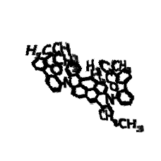 C=c1/c(=C\C=C/C)n(-c2cccc3c2oc2c(C(C)(C)C)cccc23)c2ccc3cc4c5ccccc5n(-c5cccc6c5oc5c(C(C)(C)C)cccc56)c5ccc6cc1c2c3c6c45